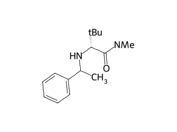 CNC(=O)[C@H](NC(C)c1ccccc1)C(C)(C)C